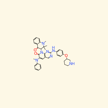 CN(c1ccccc1)c1cc2cnc(Nc3ccc(OC4CCCNC4)cc3)nc2n(C2C(=O)c3ccccc3N(C)C2(C)C)c1=O